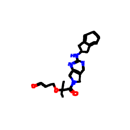 CC(C)(OCCC=O)C(=O)N1Cc2cnc(NC3Cc4ccccc4C3)nc2C1